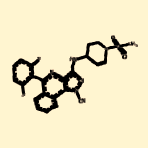 CS(=O)(=O)N1CCC(Nc2nn(C#N)c3c2nc(-c2c(F)cccc2F)c2ccccc23)CC1